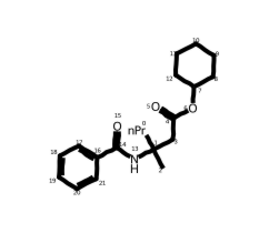 CCCC(C)(CC(=O)OC1CCCCC1)NC(=O)c1ccccc1